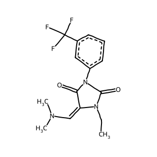 CCN1C(=O)N(c2cccc(C(F)(F)F)c2)C(=O)C1=CN(C)C